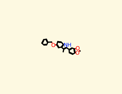 Cc1c(-c2ccc3c(c2)OCO3)[nH]c2ccc(OCc3ccccc3)cc12